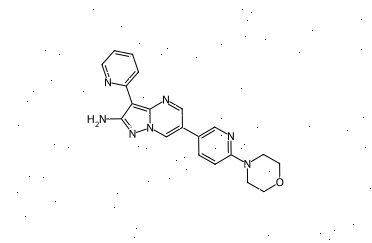 Nc1nn2cc(-c3ccc(N4CCOCC4)nc3)cnc2c1-c1ccccn1